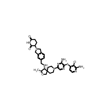 C[C@@H]1OCC2(CCN(c3cnc(Sc4ccnc(N)c4Cl)c(N)n3)CC2)[C@@H]1NCc1ccc2c(c1)CN(C1CCC(=O)NC1=O)C2